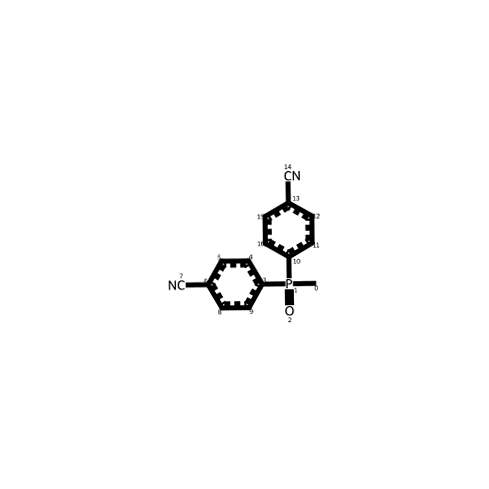 CP(=O)(c1ccc(C#N)cc1)c1ccc(C#N)cc1